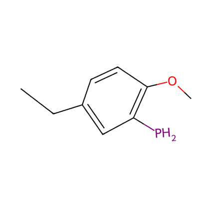 CCc1ccc(OC)c(P)c1